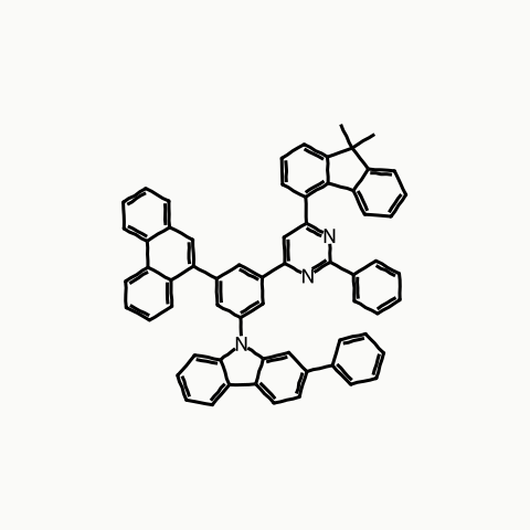 CC1(C)c2ccccc2-c2c(-c3cc(-c4cc(-c5cc6ccccc6c6ccccc56)cc(-n5c6ccccc6c6ccc(-c7ccccc7)cc65)c4)nc(-c4ccccc4)n3)cccc21